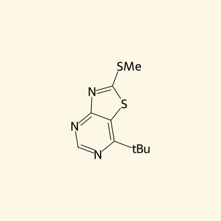 CSc1nc2ncnc(C(C)(C)C)c2s1